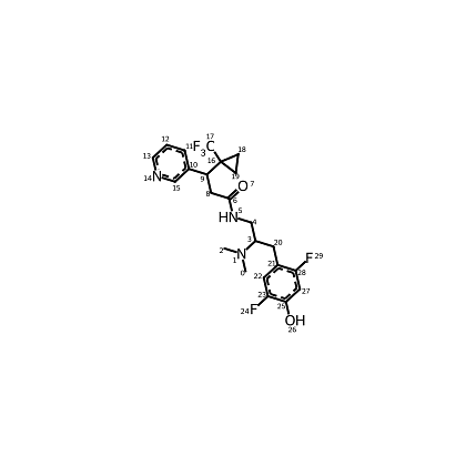 CN(C)C(CNC(=O)CC(c1cccnc1)C1(C(F)(F)F)CC1)Cc1cc(F)c(O)cc1F